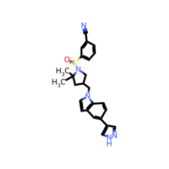 CC1(C)CC(Cn2ccc3cc(-c4cn[nH]c4)ccc32)CN1[S@@+]([O-])c1cccc(C#N)c1